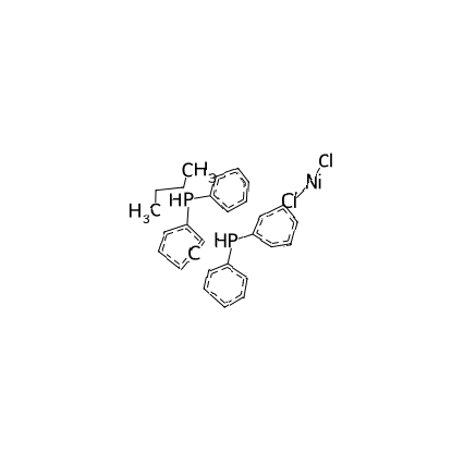 CCCC.[Cl][Ni][Cl].c1ccc(Pc2ccccc2)cc1.c1ccc(Pc2ccccc2)cc1